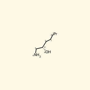 CC(C)CC[C@H](O)CN